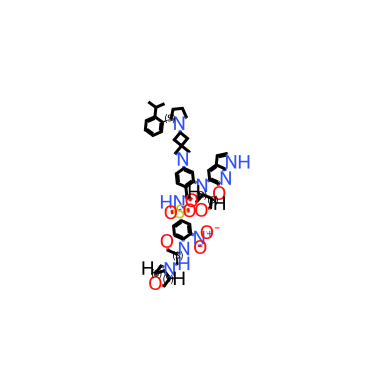 CC(C)c1ccccc1[C@@H]1CCCN1C1CC2(C1)CN(c1ccc(C(=O)NS(=O)(=O)c3cc4c(c([N+](=O)[O-])c3)N[C@@H](CN3C[C@@H]5C[C@H]3CO5)CO4)c(N3c4cc5cc[nH]c5nc4O[C@@H]4COC[C@H]43)c1)C2